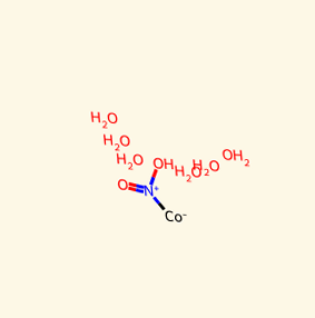 O.O.O.O.O.O.O=[N+](O)[Co-]